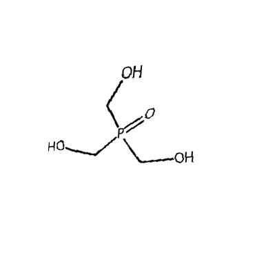 O=P(CO)(CO)CO